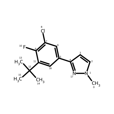 Cn1ccc(-c2cc(Cl)c(F)c(C(C)(C)C)c2)n1